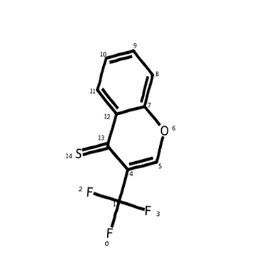 FC(F)(F)c1coc2ccccc2c1=S